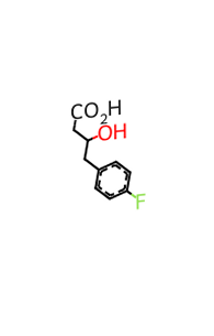 O=C(O)CC(O)Cc1ccc(F)cc1